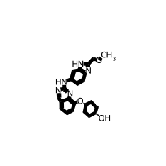 COCc1nc2ccc(Nc3ncc4cccc(O[C@H]5CC[C@@H](O)CC5)c4n3)cc2[nH]1